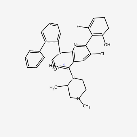 C/N=C(\c1cc(Cl)c(C2=C(O)CCC=C2F)nc1N(C=O)c1ccccc1-c1ccccc1)N1CCN(C)CC1C